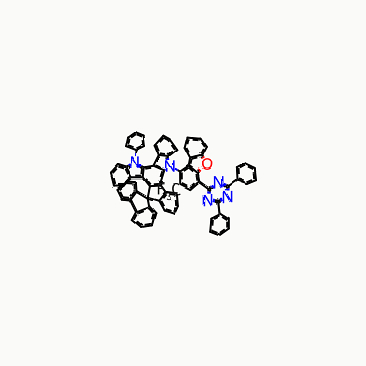 FC(F)(F)c1cc(-c2nc(-c3ccccc3)nc(-c3ccccc3)n2)c2oc3ccccc3c2c1-n1c2ccccc2c2c1c1c(c3c4ccccc4n(-c4ccccc4)c32)C2(c3ccccc3-c3ccccc32)c2ccccc2-1